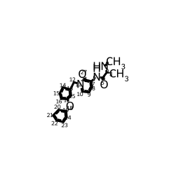 CN[C@@H](C)C(=O)Nc1cccn(Cc2cccc(Oc3ccccc3)c2)c1=O